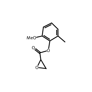 COc1cccc(C)c1OC(=O)C1CO1